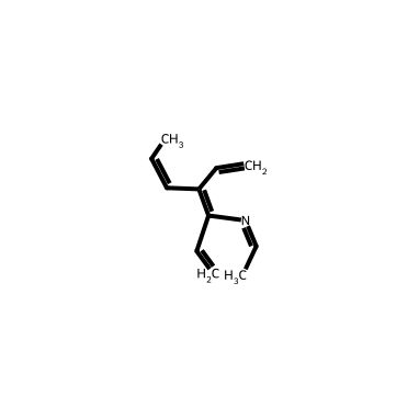 C=CC(/C=C\C)=C(C=C)\N=C/C